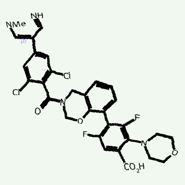 CN/C=C(\C=N)c1cc(Cl)c(C(=O)N2COc3c(cccc3-c3c(F)cc(C(=O)O)c(N4CCOCC4)c3F)C2)c(Cl)c1